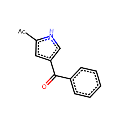 CC(=O)c1cc(C(=O)c2ccccc2)c[nH]1